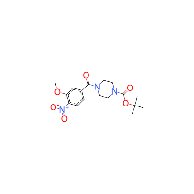 COc1cc(C(=O)N2CCN(C(=O)OC(C)(C)C)CC2)ccc1[N+](=O)[O-]